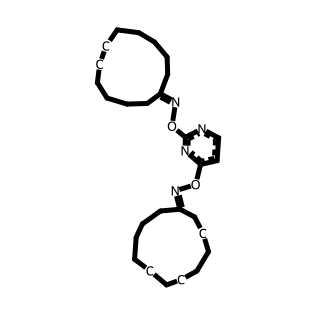 c1cc(ON=C2CCCCCCCCCCC2)nc(ON=C2CCCCCCCCCCC2)n1